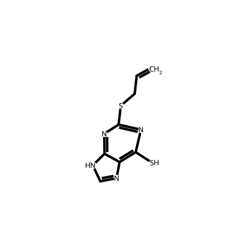 C=CCSc1nc(S)c2nc[nH]c2n1